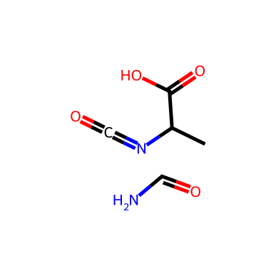 CC(N=C=O)C(=O)O.NC=O